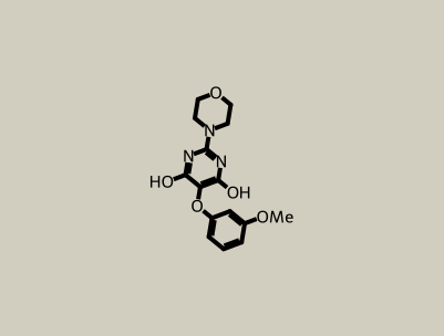 COc1cccc(Oc2c(O)nc(N3CCOCC3)nc2O)c1